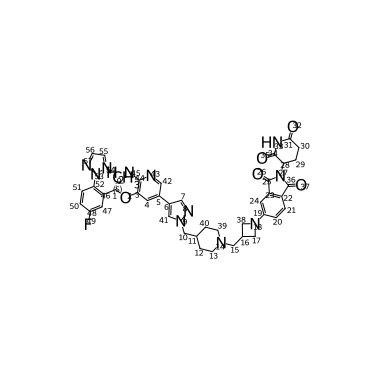 C[C@H](Oc1cc(-c2cnn(CC3CCN(CC4CN(c5ccc6c(c5)C(=O)N(C5CCC(=O)NC5=O)C6=O)C4)CC3)c2)cnc1N)c1cc(F)ccc1-n1nccn1